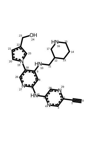 C#Cc1cnc(Nc2cc(NCC3CCCNC3)c(-n3ccc(CO)c3)cn2)cn1